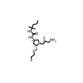 CCCC(C)(C)NC(=O)N[C@@H]1C[C@@H](COCCF)N(C[C@@H](F)CN)C1